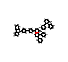 c1ccc(-c2ccccc2-c2ccccc2N(c2ccc(-c3ccc(-c4ccc(-n5c6ccccc6c6ccccc65)cc4)cc3)cc2)c2ccc(-c3cccc4oc5ccccc5c34)cc2)cc1